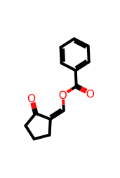 O=C1CCC/C1=C/OC(=O)c1ccccc1